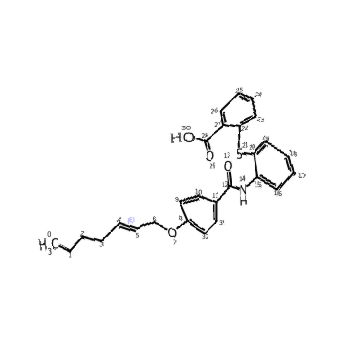 CCCC/C=C/COc1ccc(C(=O)Nc2ccccc2Sc2ccccc2C(=O)O)cc1